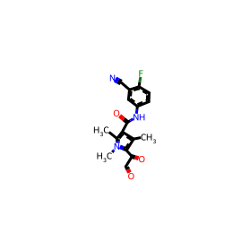 Cc1c(C(=O)Nc2ccc(F)c(C#N)c2)c(C)n(C)c1C(=O)C=O